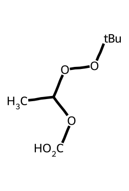 CC(OOC(C)(C)C)OC(=O)O